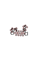 Clc1ccc(-c2c(-c3ccccc3)c(-c3ccccc3)c(-c3ccc(-c4c(-c5ccccc5)c(-c5ccccc5)c(-c5ccc(Cl)cc5)c(-c5ccc(-n6c7ccccc7c7cc(-c8cccc9c8sc8c(-c%10ccccc%10)cccc89)ccc76)cc5)c4-c4ccccc4)cc3)c(-c3ccccc3)c2-c2ccc(-n3c4ccccc4c4cc(-c5cccc6c5sc5c(-c7ccccc7)cccc56)ccc43)cc2)cc1